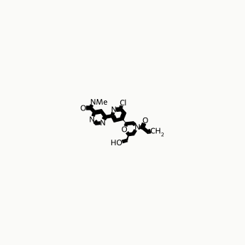 C=CC(=O)N1C[C@@H](CO)O[C@H](c2cc(Cl)nc(-c3cc(C(=O)NC)ncn3)c2)C1